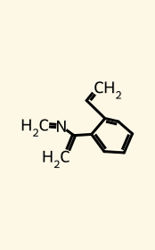 C=Cc1ccccc1C(=C)N=C